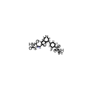 Cc1cc(-c2cncc3cc(/C=C4/SC(=O)NC4=O)oc23)ccc1S(=O)(=O)NC(C)C